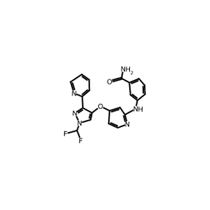 NC(=O)c1cccc(Nc2cc(Oc3cn(C(F)F)nc3-c3ccccn3)ccn2)c1